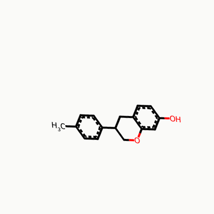 Cc1ccc(C2COc3cc(O)ccc3C2)cc1